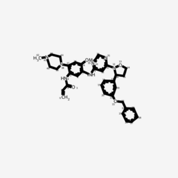 C=CC(=O)Nc1cc(Nc2cc(N3OCCC3c3cccc(OCc4ccccc4)c3)ncn2)c(OC)cc1N1CCN(C)CC1